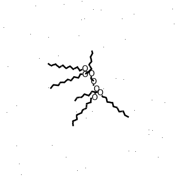 CCCCCCCCCCOC(CCCCCC)(OCCCCCCCCCC)OCOCOC(CCCCCC)(OCCCCCCCCCC)OCCCCCCCCCC